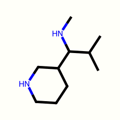 CNC(C(C)C)C1CCCNC1